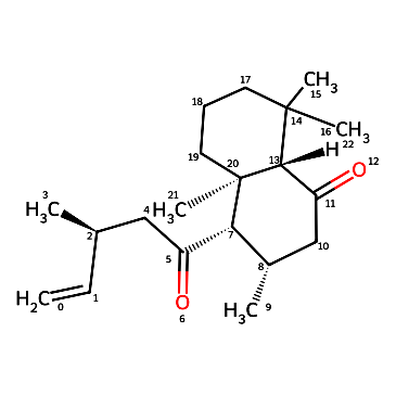 C=C[C@@H](C)CC(=O)[C@H]1[C@@H](C)CC(=O)[C@H]2C(C)(C)CCC[C@]12C